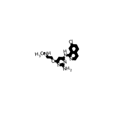 CNCCOc1cc(Nc2nccc3ccc(Cl)cc23)nc(N)n1